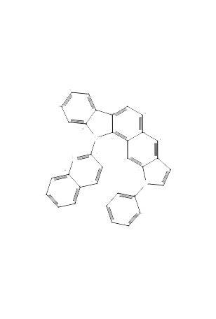 c1ccc(-n2ccc3cc4ccc5c6ccccc6n(-c6ccc7ccccc7n6)c5c4cc32)cc1